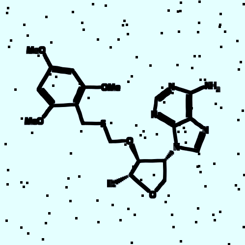 CC[C@H]1OC[C@@H](n2cnc3c(N)ncnc32)[C@@H]1OCSCc1c(OC)cc(OC)cc1OC